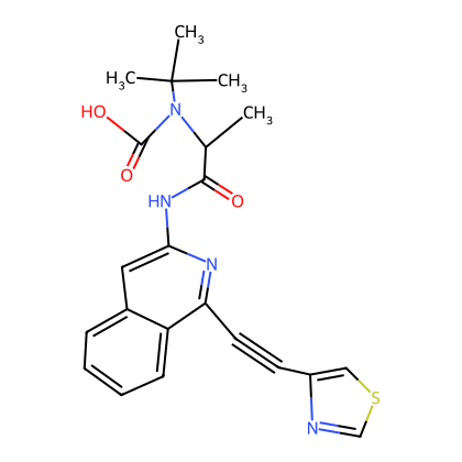 CC(C(=O)Nc1cc2ccccc2c(C#Cc2cscn2)n1)N(C(=O)O)C(C)(C)C